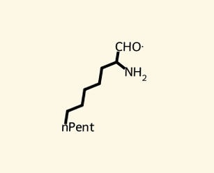 CCCCCCCCCCC(N)[C]=O